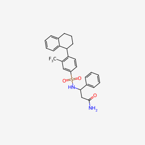 NC(=O)CC(NS(=O)(=O)c1ccc(C2CCCc3ccccc32)c(C(F)(F)F)c1)c1ccccc1